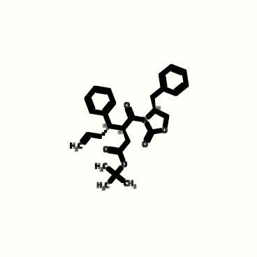 C=CC[C@H](c1ccccc1)[C@H](CC(=O)OC(C)(C)C)C(=O)N1C(=O)OC[C@@H]1Cc1ccccc1